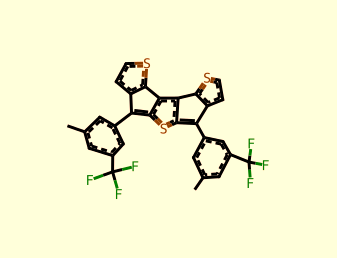 Cc1cc(C2=c3sc4c(c3-c3sccc32)-c2sccc2C=4c2cc(C)cc(C(F)(F)F)c2)cc(C(F)(F)F)c1